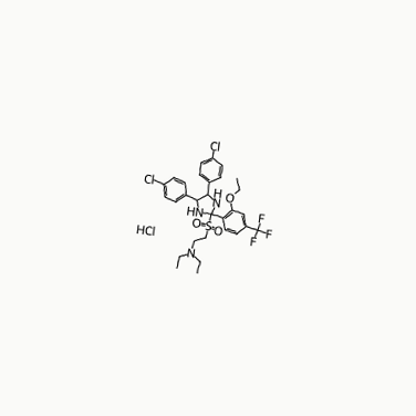 CCOc1cc(C(F)(F)F)ccc1C1(S(=O)(=O)CCN(CC)CC)NC(c2ccc(Cl)cc2)C(c2ccc(Cl)cc2)N1.Cl